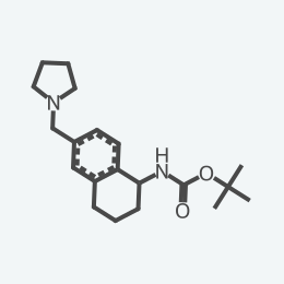 CC(C)(C)OC(=O)NC1CCCc2cc(CN3CCCC3)ccc21